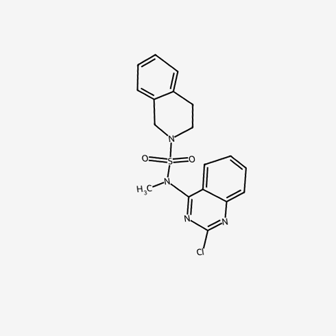 CN(c1nc(Cl)nc2ccccc12)S(=O)(=O)N1CCc2ccccc2C1